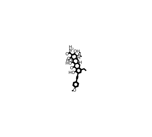 CCc1cc(C#Cc2ccc(OC)cc2)c(O)c2c1C[C@H]1C[C@H]3[C@H](N(C)C)C(O)=C(C(N)=O)C(=O)[C@@]3(O)C(O)=C1C2=O